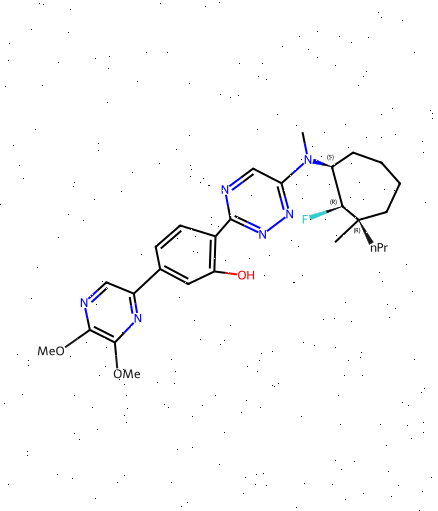 CCC[C@]1(C)CCCC[C@H](N(C)c2cnc(-c3ccc(-c4cnc(OC)c(OC)n4)cc3O)nn2)[C@@H]1F